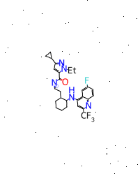 CCn1nc(C2CC2)cc1C(=O)/N=C\CC1CCCCC1Nc1cc(C(F)(F)F)nc2ccc(F)cc12